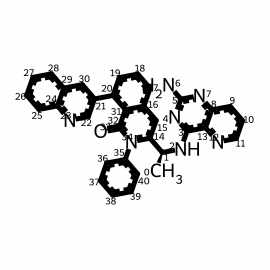 C[C@H](Nc1nc(N)nc2cccnc12)c1cc2cccc(-c3cnc4ccccc4c3)c2c(=O)n1-c1ccccc1